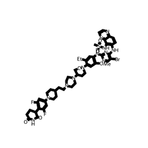 CCc1cc(Nc2ncc(Br)c(Nc3ccc4nccnc4c3NS(C)(=O)=O)n2)c(OC)cc1N1CCC(N2CCN(CCC3CCN(c4cc(F)c(C5CCC(=O)NC5=O)c(F)c4)CC3)CC2)CC1